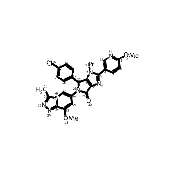 COc1ccc(-c2nc3c(n2C(C)C)C(c2ccc(Cl)cc2)N(c2cc(OC)c4nnc(C)n4c2)C3=O)cn1